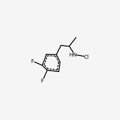 CC(Cc1ccc(F)c(F)c1)NCl